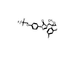 C[C@@H](n1cnn(-c2ccc(OCC(F)(F)C(F)(F)F)cc2)c1=O)[C@]1(c2ccc(F)cc2F)CO1